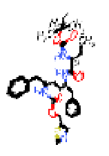 CC[C@H](NC(=O)OC(C)(C)C)C(=O)N[C@H](CC[C@H](Cc1ccccc1)NC(=O)OCc1cncs1)Cc1ccccc1